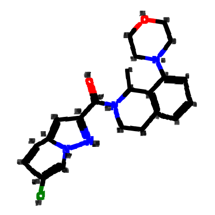 CC1c2c(cccc2N2CCOCC2)CCN1C(=O)c1cc2ccc(Cl)cn2n1